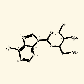 COCC(OC(C)n1cnc2c(N)ncnc21)C(CO)OC